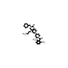 CCCC[C@@H]1CN(CC2CCCCC2)C(=O)OC12CCN(C1CCN(C(=O)c3c(C)cccc3C)CC1)CC2